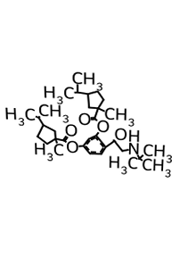 CC(C)C1CCC(C)(C(=O)Oc2ccc(C(=O)CNC(C)(C)C)c(OC(=O)C3(C)CCC(C(C)C)C3)c2)C1